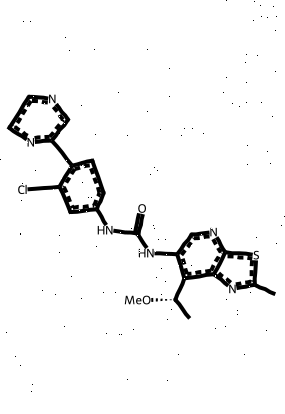 CO[C@@H](C)c1c(NC(=O)Nc2ccc(-c3cnccn3)c(Cl)c2)cnc2sc(C)nc12